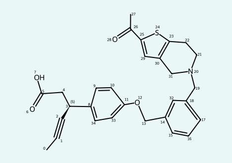 CC#C[C@@H](CC(=O)O)c1ccc(OCc2cccc(CN3CCc4sc(C(C)=O)cc4C3)c2)cc1